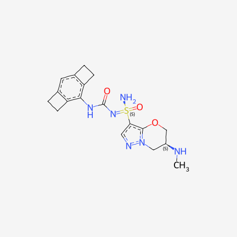 CN[C@@H]1COc2c([S@@](N)(=O)=NC(=O)Nc3c4c(cc5c3CC5)CC4)cnn2C1